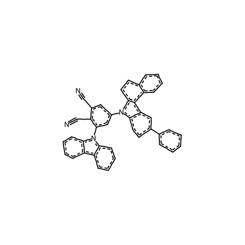 N#Cc1cc(-n2c3ccc(-c4ccccc4)cc3c3c4ccccc4ccc32)cc(-n2c3ccccc3c3ccccc32)c1C#N